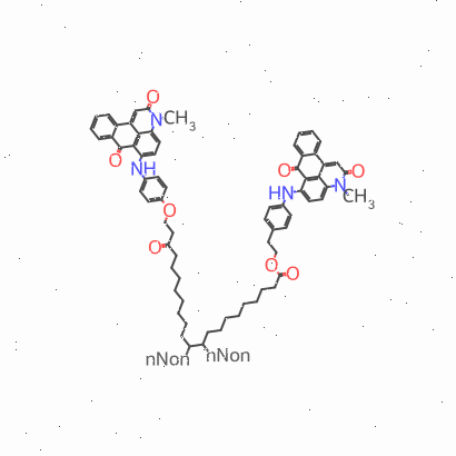 CCCCCCCCCC(CCCCCCCCC(=O)CCOc1ccc(Nc2ccc3c4c(cc(=O)n3C)-c3ccccc3C(=O)c24)cc1)C(CCCCCCCCC)CCCCCCCCC(=O)OCCc1ccc(Nc2ccc3c4c(cc(=O)n3C)-c3ccccc3C(=O)c24)cc1